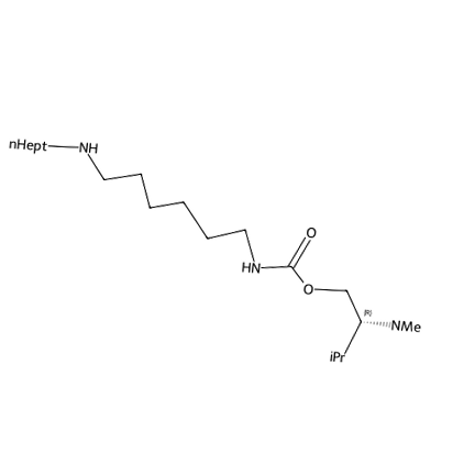 CCCCCCCNCCCCCCNC(=O)OC[C@H](NC)C(C)C